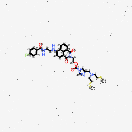 CCSCCN(CCSCC)Cc1cn(C(=O)OCCN2C(=O)c3cccc4c(NCCNC(=O)c5ccc(F)cc5)ccc(c34)C2=O)cn1